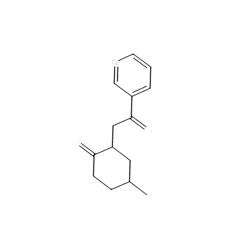 CC1CCC(=O)C(CC(=O)c2cccnc2)C1